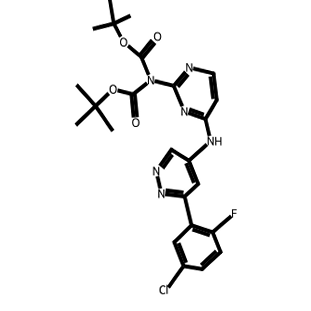 CC(C)(C)OC(=O)N(C(=O)OC(C)(C)C)c1nccc(Nc2cnnc(-c3cc(Cl)ccc3F)c2)n1